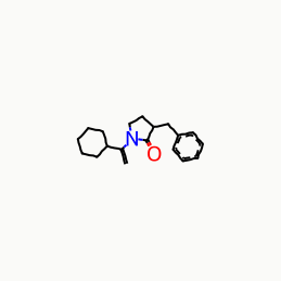 C=C(C1CCCCC1)N1CCC(Cc2ccccc2)C1=O